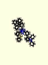 c1ccc(-n2c3ccccc3c3c(-c4cccc(-c5nc(-c6cccc7c6-c6ccccc6C7(c6ccccc6)c6ccccc6)nc(-c6cccc7c6sc6ccccc67)n5)c4)cccc32)cc1